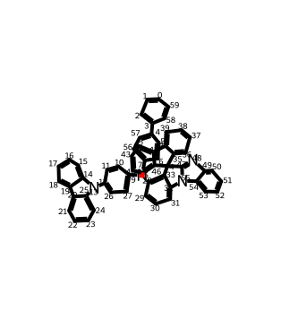 c1ccc(-c2ccc(N(c3ccc(-n4c5ccccc5c5ccccc54)cc3)c3cccc4c3C3(c5ccccc5-c5ccccc53)c3nc5ccccc5n3-4)cc2)cc1